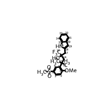 COc1ccc(S(C)(=O)=O)cc1C(C)(C)CC(O)(Cc1cc2ccccc2[nH]1)C(F)(F)F